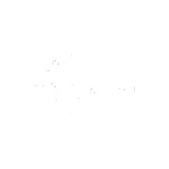 C#CC1CCN(c2ccc(C(=O)N(C)C3CCC(=O)NC3=O)c(C=O)c2)CC1